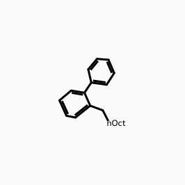 CCCCCCCCCc1ccccc1-c1ccccc1